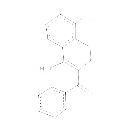 NC1=C(C(=O)c2ccccc2)CCc2c(Cl)cccc21